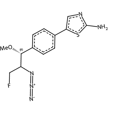 CO[C@H](c1ccc(-c2cnc(N)s2)cc1)C(CF)N=[N+]=[N-]